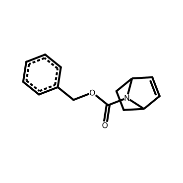 O=C(OCc1ccccc1)N1C2C=CC1CC2